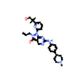 C=CCn1c(=O)c2cnc(Nc3ccc(C4CCN(C)CC4)cc3)nc2n1-c1cccc(C(C)(C)CO)n1